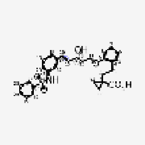 O=C(O)C1(CCc2ccccc2OCC[C@@H](O)/C=C/c2cccc(NS(=O)(=O)c3ccccc3)c2)CC1